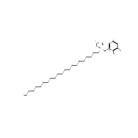 CCCCCCCCCCCCCCCCCCCCCC[PH](CC)(CC)Cc1cccc(Cl)c1Cl